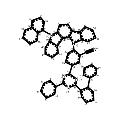 N#Cc1cc(-c2nc(-c3ccccc3)nc(-c3ccccc3-c3ccccc3)n2)ccc1-n1c2ccccc2c2ccc3c(c4ccccc4n3-c3cccc4ccccc34)c21